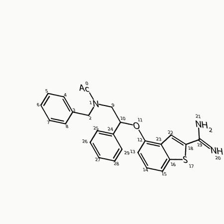 CC(=O)N(Cc1ccccc1)CC(Oc1cccc2sc(C(=N)N)cc12)c1ccccc1